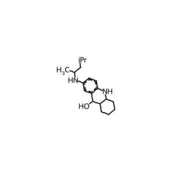 CC(C)CC(C)Nc1ccc2c(c1)C(O)C1CCCCC1N2